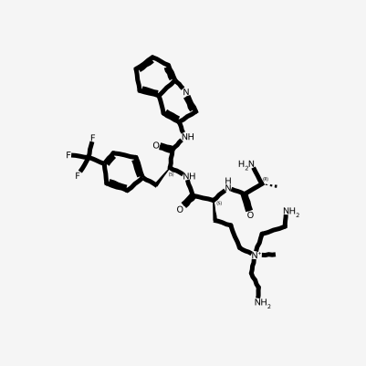 C[C@@H](N)C(=O)N[C@@H](CCC[N+](C)(CCN)CCN)C(=O)N[C@@H](Cc1ccc(C(F)(F)F)cc1)C(=O)Nc1cnc2ccccc2c1